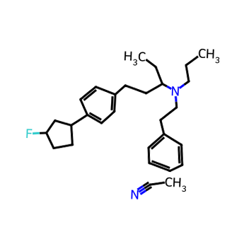 CC#N.CCCN(CCc1ccccc1)C(CC)CCc1ccc(C2CCC(F)C2)cc1